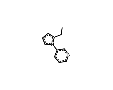 CCc1cccn1-c1cccnc1